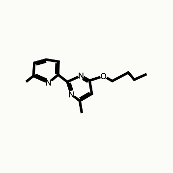 CCCCOc1cc(C)nc(-c2cccc(C)n2)n1